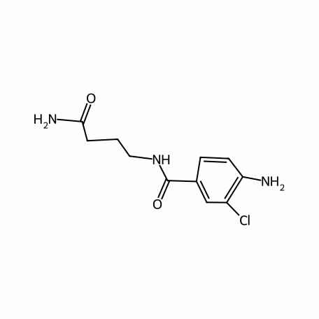 NC(=O)CCCNC(=O)c1ccc(N)c(Cl)c1